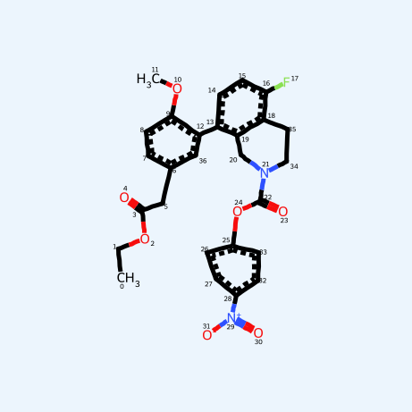 CCOC(=O)Cc1ccc(OC)c(-c2ccc(F)c3c2CN(C(=O)Oc2ccc([N+](=O)[O-])cc2)CC3)c1